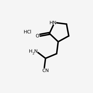 Cl.N#CC(N)CC1CCNC1=O